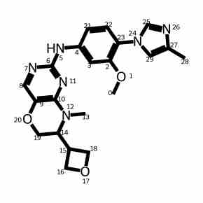 COc1cc(Nc2ncc3c(n2)N(C)C(C2COC2)CO3)ccc1-n1cnc(C)c1